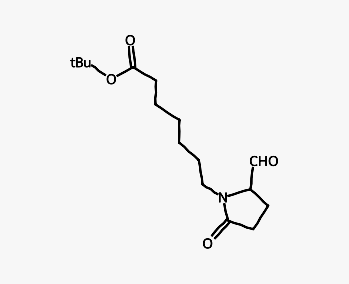 CC(C)(C)OC(=O)CCCCCCN1C(=O)CCC1C=O